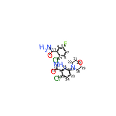 NC(=O)c1cc(F)ccc1Cl.NC(=O)c1cc(N2CCOCC2)ccc1Cl